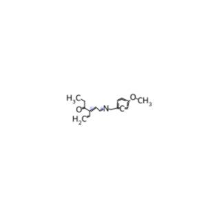 C=C/C(=C\C=N\Cc1ccc(OC)cc1)C(=O)CC